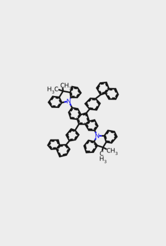 CC1(C)c2ccccc2N(c2ccc3c(-c4ccc(-c5cccc6ccccc56)cc4)c4cc(N5c6ccccc6C(C)(C)c6ccccc65)ccc4c(-c4ccc(-c5cccc6ccccc56)cc4)c3c2)c2ccccc21